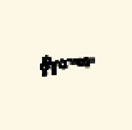 COc1ccc2nccc(C(O)CN3CCC[C@@H](CNCC4=CC5=CNSN5C=C4)C3)c2c1